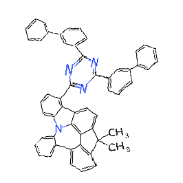 CC1(C)c2cccc3c2-c2c1ccc1c4c(-c5nc(-c6cccc(-c7ccccc7)c6)nc(-c6cccc(-c7ccccc7)c6)n5)cccc4n(c21)-c1ccccc1-3